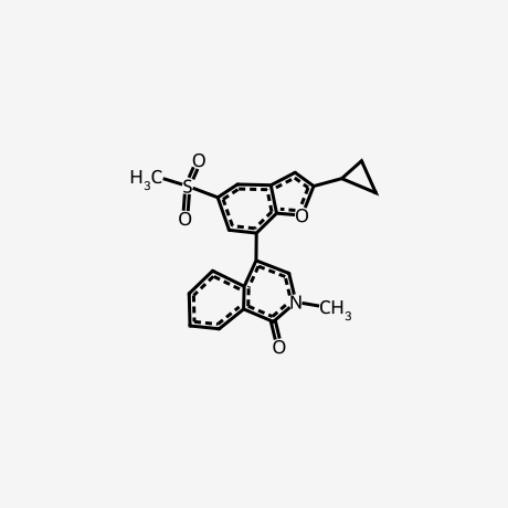 Cn1cc(-c2cc(S(C)(=O)=O)cc3cc(C4CC4)oc23)c2ccccc2c1=O